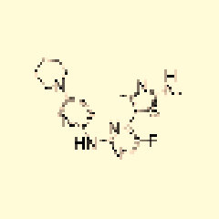 CNc1nc(C)c(-c2nc(Nc3ccc(N4CCCCC4)cn3)ncc2F)s1